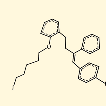 ICCCCCOc1ccccc1CC/C(=C/c1ccc(I)cc1)c1ccccc1